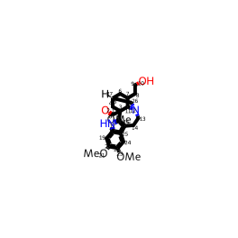 COC(=O)C12C[C@H]3CC(CCO)C1N(CCc1c2[nH]c2cc(OC)c(OC)cc12)C3